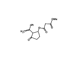 C=C(CCC)C1C(=O)CCC1OC(=O)CC(=O)OC